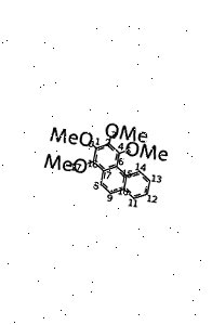 COc1c(OC)c(OC)c2c(ccc3ccccc32)c1OC